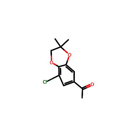 CC(=O)c1cc(Cl)c2c(c1)OC(C)(C)CO2